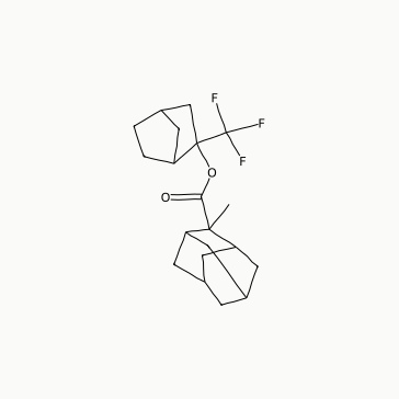 CC1(C(=O)OC2(C(F)(F)F)CC3CCC2C3)C2CC3CC(C2)CC1C3